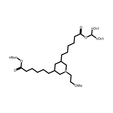 CCCCCCCCCOC(=O)CCCCCC1CC(CCCCCC(=O)OC(CCCCCCCC)CCCCCCCC)CN(CCOC)C1